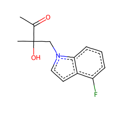 CC(=O)C(C)(O)Cn1ccc2c(F)cccc21